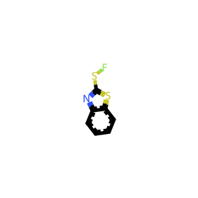 FSc1nc2ccccc2s1